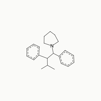 CC(C)C(c1ccccc1)C(c1ccccc1)N1CCCCC1